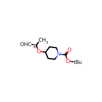 C[C@H](C=O)OC1CCN(C(=O)OC(C)(C)C)CC1